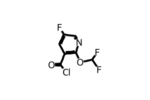 O=C(Cl)c1cc(F)cnc1OC(F)F